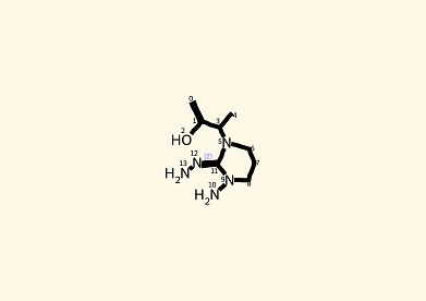 C=C(O)C(C)N1CCCN(N)/C1=N\N